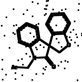 CC(=O)CN1C(=O)C2(COc3ccccc32)c2ccccc21